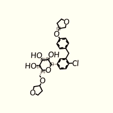 O[C@@H]1[C@@H](O)[C@H](c2ccc(Cl)c(Cc3ccc(O[C@H]4CCOC4)cc3)c2)O[C@H](COC2CCOC2)[C@H]1O